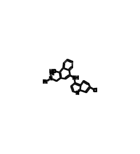 CCN(CC)Cc1cc(Nc2ccnc3cc(Cl)ccc23)c2ccccc2c1O